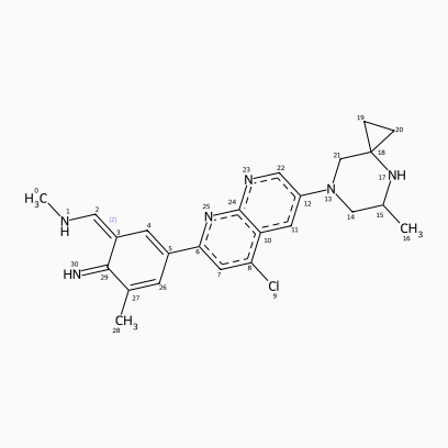 CN/C=C1/C=C(c2cc(Cl)c3cc(N4CC(C)NC5(CC5)C4)cnc3n2)C=C(C)C1=N